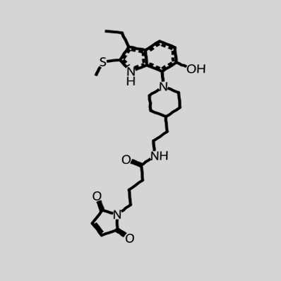 CCc1c(SC)[nH]c2c(N3CCC(CCNC(=O)CCCN4C(=O)C=CC4=O)CC3)c(O)ccc12